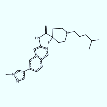 C=C(Nc1cc2cc(-c3cnn(C)c3)ccc2cn1)C1(F)CCN(CCCC(C)C)CC1